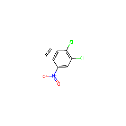 C=C.O=[N+]([O-])c1ccc(Cl)c(Cl)c1